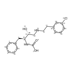 O=C(O)N[C@@H](Cc1ccccc1)[C@H](O)CNCCc1cccc(Cl)c1